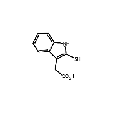 O=C(O)Cc1c(S)[nH]c2ccccc12